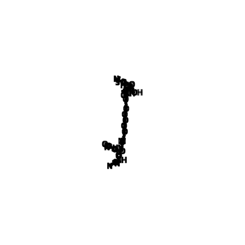 Cc1ncsc1-c1ccc(CNC(=O)[C@@H]2C[C@@H](O)CN2C(=O)[C@@H](NC(=O)COCCCCOCCOCCOCCOCCOCCCCn2cc(CNC(=O)N(c3ccc(-c4ccc(=O)n(C)c4)cc3)[C@H]3CC[C@H](Nc4ccc(C#N)cn4)CC3)cn2)C(C)(C)C)cc1